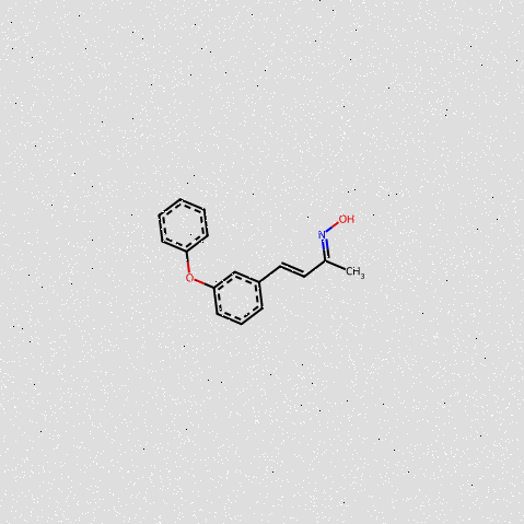 CC(C=Cc1cccc(Oc2ccccc2)c1)=NO